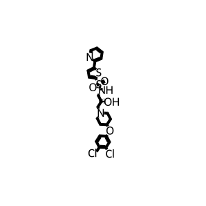 O=S(=O)(NC[C@@H](O)CN1CCC(Oc2ccc(Cl)c(Cl)c2)CC1)c1ccc(-c2ccccn2)s1